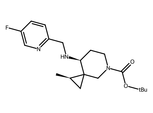 C[C@@H]1CC12CN(C(=O)OC(C)(C)C)CC[C@@H]2NCc1ccc(F)cn1